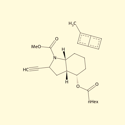 C#CC1C[C@H]2[C@@H](OC(=O)CCCCCC)CCC[C@H]2N1C(=O)OC.Cc1cc2ccc1-2